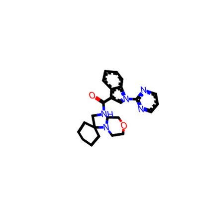 O=C(NCC1(N2CCOCC2)CCCCC1)c1cn(-c2ncccn2)c2ccccc12